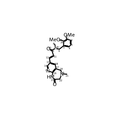 COc1cccc(CN(C)C(=O)C=Cc2cnc3c(c2)CN(C)CC(=O)N3)c1OC